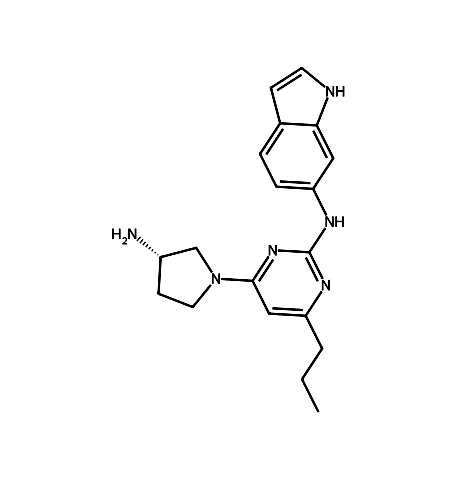 CCCc1cc(N2CC[C@H](N)C2)nc(Nc2ccc3cc[nH]c3c2)n1